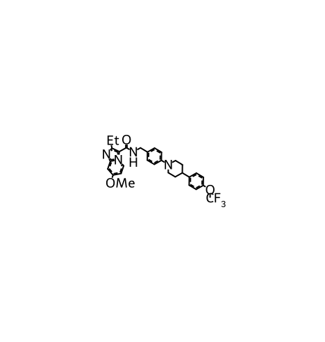 CCc1nc2cc(OC)ccn2c1C(=O)NCc1ccc(N2CCC(c3ccc(OC(F)(F)F)cc3)CC2)cc1